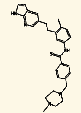 Cc1ccc(NC(=S)c2ccc(CN3CCN(C)CC3)cc2)cc1CCc1cnc2[nH]ccc2c1